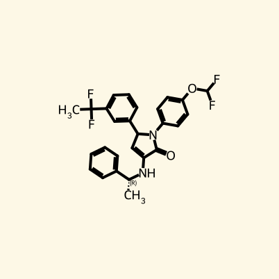 C[C@@H](NC1=CC(c2cccc(C(C)(F)F)c2)N(c2ccc(OC(F)F)cc2)C1=O)c1ccccc1